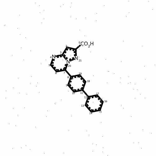 O=C(O)c1cc2nccc(-c3ccc(-c4ccccc4)cc3)n2n1